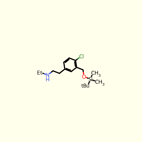 CCNCCc1ccc(Cl)c(CO[Si](C)(C)C(C)(C)C)c1